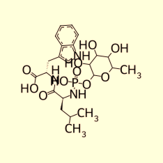 CC(C)C[C@H](NP(=O)(O)OC1OC(C)C(O)C(O)C1O)C(=O)N[C@@H](Cc1c[nH]c2ccccc12)C(=O)O